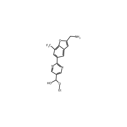 CCOC(O)c1cnc(-c2cc(C(F)(F)F)c3oc(CN)cc3c2)nc1